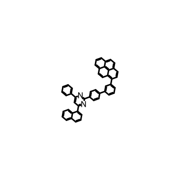 c1ccc(-c2cc(-c3cccc4ccccc34)nc(-c3ccc(-c4cccc(-c5ccc6ccc7cccc8ccc5c6c78)c4)cc3)n2)cc1